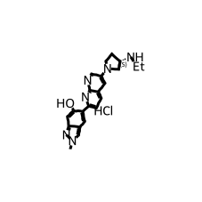 CCN[C@H]1CCN(c2cnc3nc(-c4cc5cn(C)nc5cc4O)ccc3c2)C1.Cl